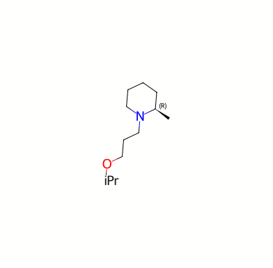 CC(C)OCCCN1CCCC[C@H]1C